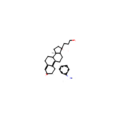 CN(C)c1ccc([C@H]2CC3[C@@H](CC[C@]3(O)CCCO)[C@@H]3CCC4=CC(=O)CCC4=C32)cc1